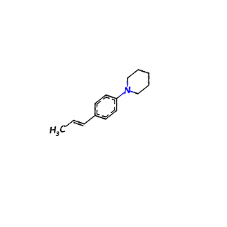 C/C=C/c1ccc(N2CCCCC2)cc1